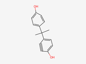 CC(C)(c1c#cc(O)cc1)c1ccc(O)cc1